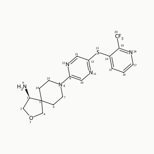 N[C@@H]1COCC12CCN(c1cnc(Sc3cccnc3C(F)(F)F)cn1)CC2